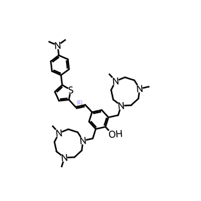 CN1CCN(C)CCN(Cc2cc(/C=C/c3ccc(-c4ccc(N(C)C)cc4)s3)cc(CN3CCN(C)CCN(C)CC3)c2O)CC1